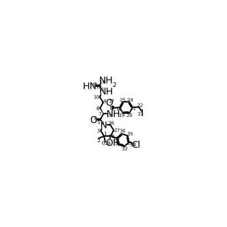 CC1(C)CN(C(=O)[C@@H](CCCNC(=N)N)NC(=O)c2ccc(CI)cc2)CC[C@]1(O)c1ccc(Cl)cc1